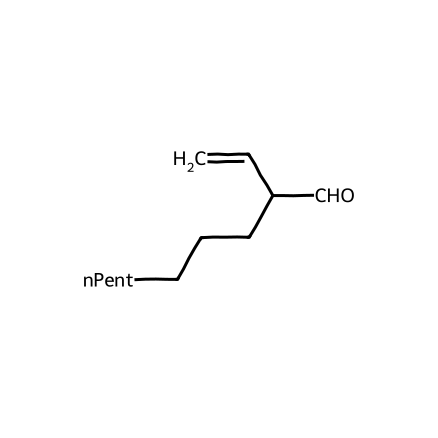 C=CC(C=O)CCCCCCCC